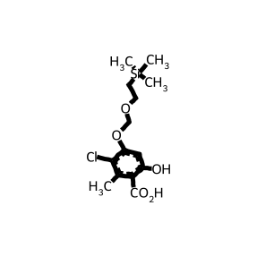 Cc1c(Cl)c(OCOCC[Si](C)(C)C)cc(O)c1C(=O)O